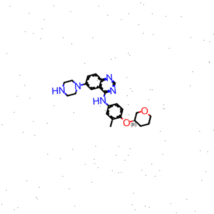 Cc1cc(Nc2ncnc3ccc(N4CCNCC4)cc23)ccc1O[C@@H]1CCCOC1